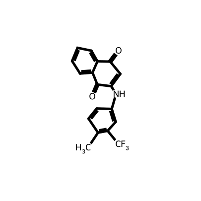 Cc1ccc(NC2=CC(=O)c3ccccc3C2=O)cc1C(F)(F)F